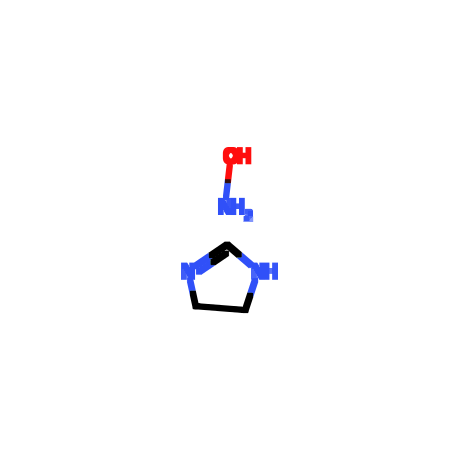 C1=NCCN1.NO